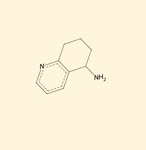 NC1CCCc2ncccc21